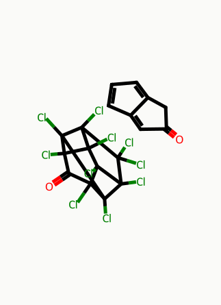 O=C1C2(Cl)C3(Cl)C4(Cl)C(Cl)(Cl)C5(Cl)C3(Cl)C1(Cl)C5(Cl)C24Cl.O=C1C=C2C=CC=C2C1